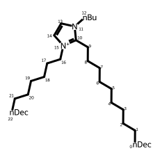 CCCCCCCCCCCCCCCCCCCc1n(CCCC)cc[n+]1CCCCCCCCCCCCCCCC